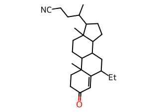 CCC1CC2C(CCC3(C)C(C(C)CCC#N)CCC23)C2(C)CCC(=O)C=C12